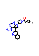 C=CC(=O)N1CCC(n2cc(-c3cnc4ccccc4c3)c3c(N)ncnc32)C1